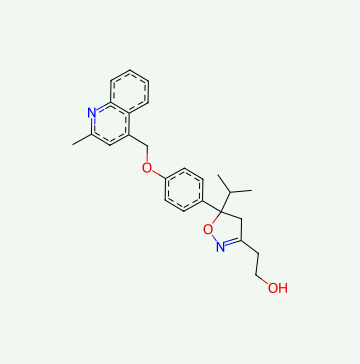 Cc1cc(COc2ccc(C3(C(C)C)CC(CCO)=NO3)cc2)c2ccccc2n1